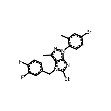 CCc1nc2c(c(C)nn2-c2ccc(Br)cc2C)n1Cc1ccc(F)c(F)c1